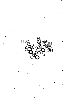 CCOC(=O)/C(Cl)=C/c1cc(N2C(=O)C3=C(CCCC3)C2=O)ccc1Cl.CCOCN(C(=O)CCl)c1c(C)cccc1CC.O=C(O)CNCP(=O)(O)O